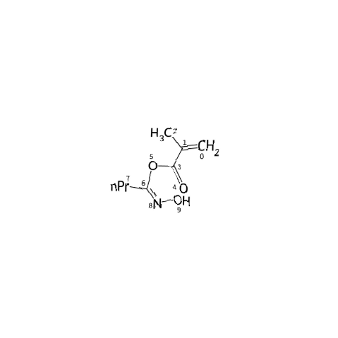 C=C(C)C(=O)OC(CCC)=NO